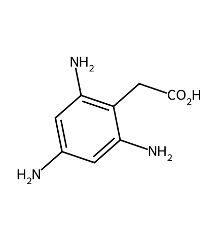 Nc1cc(N)c(CC(=O)O)c(N)c1